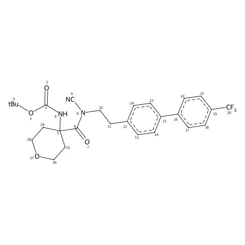 CC(C)(C)OC(=O)NC1(C(=O)N(C#N)CCc2ccc(-c3ccc(C(F)(F)F)cc3)cc2)CCOCC1